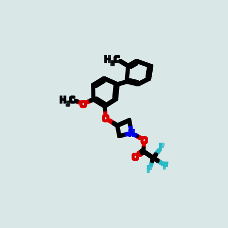 COc1ccc(-c2ccccc2C)cc1OC1CN(OC(=O)C(F)(F)F)C1